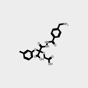 Cc1cccc(OC(OCC(=O)O)(C(=O)O)C(=O)NNC(=O)c2ccc(CN)cc2)c1